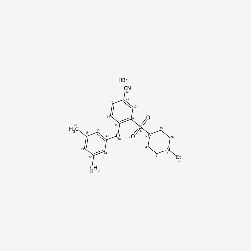 Br.CCN1CCN(S(=O)(=O)c2cc(C#N)ccc2Oc2cc(C)cc(C)c2)CC1